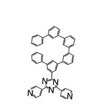 c1ccc(-c2cccc(-c3cccc(-c4cccc(-c5cc(-c6ccccc6)cc(-c6nc(-c7ccncc7)nc(-c7ccncc7)n6)c5)c4)c3)c2)cc1